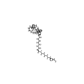 CCCCCCCC/C=C\CCCCCCCCOP(=O)(O)OCC[N+]1(C)CCCCC1